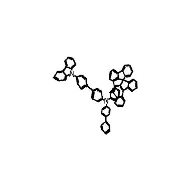 c1ccc(-c2ccc(N(c3ccc(-c4ccc(-n5c6ccccc6c6ccccc65)cc4)cc3)c3cccc(-c4cccc5c4C4(c6ccccc6-5)c5ccccc5-c5c4ccc4ccccc54)c3)cc2)cc#1